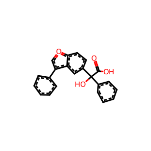 O=C(O)C(O)(c1ccccc1)c1ccc2occ(-c3ccccc3)c2c1